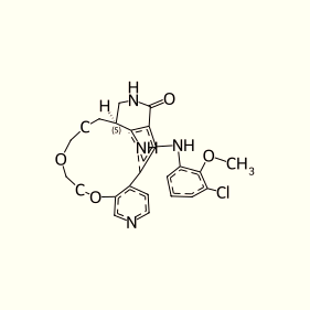 COc1c(Cl)cccc1Nc1c2[nH]c3c1C(=O)NC[C@@H]3CCCOCCOc1cnccc1-2